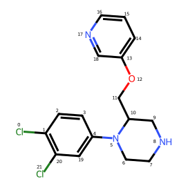 Clc1ccc(N2CCNCC2COc2cccnc2)cc1Cl